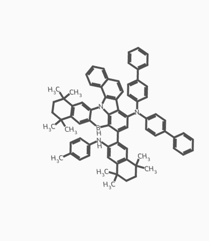 Cc1ccc(Nc2cc3c(cc2-c2cc(N(c4ccc(-c5ccccc5)cc4)c4ccc(-c5ccccc5)cc4)c4c5ccc6ccccc6c5n5c4c2Bc2cc4c(cc2-5)C(C)(C)CCC4(C)C)C(C)(C)CCC3(C)C)cc1